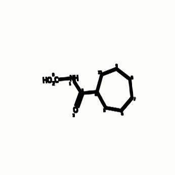 O=C(O)NC(=O)C1CCCCCC1